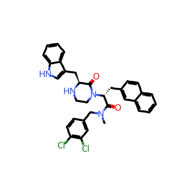 CN(Cc1ccc(Cl)c(Cl)c1)C(=O)[C@@H](Cc1ccc2ccccc2c1)N1CCN[C@@H](Cc2c[nH]c3ccccc23)C1=O